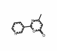 Cc1cc(=O)oc(-c2cccnc2)n1